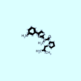 C[C](C)CN1CCC[C@H]1C(=O)N(C)c1nc(-c2cccc(N)c2)cs1